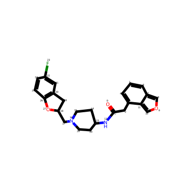 O=C(Cc1cccc2cocc12)NC1CCN(CC2Cc3cc(F)ccc3O2)CC1